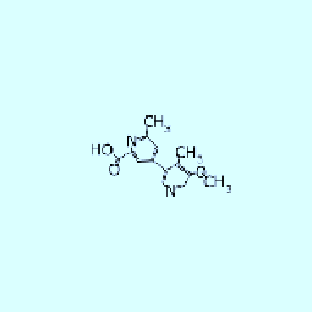 COc1cncc(-c2cc(C)nc(C(=O)O)c2)c1C